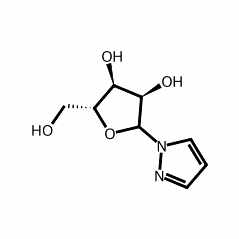 OC[C@H]1OC(n2cccn2)[C@H](O)[C@@H]1O